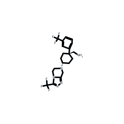 NC[C@]1(c2cccc(C(F)(F)F)c2)CC[C@@H](N2CCn3c(nnc3C(F)(F)F)C2)CC1